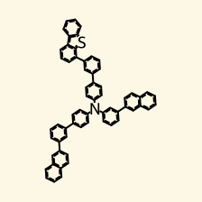 c1cc(-c2ccc(N(c3ccc(-c4cccc(-c5cccc6c5sc5ccccc56)c4)cc3)c3cccc(-c4ccc5ccccc5c4)c3)cc2)cc(-c2ccc3ccccc3c2)c1